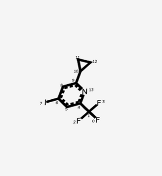 FC(F)(F)c1cc(I)cc(C2CC2)n1